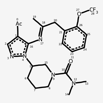 CC(=O)c1cnn(C2CCCN(C(=O)N(C)C)C2)c1/N=C(\C)Cc1ccccc1OC(F)(F)F